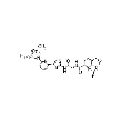 C[C@@H]1CN(c2cccc(-c3csc(NC(=O)CNC(=O)c4ccc5c(c4)[C@@]4(COC5)CC4(F)F)n3)n2)C[C@H](C)O1